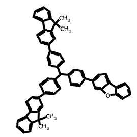 CC1(C)c2ccccc2-c2ccc(-c3ccc(C(c4ccc(-c5ccc6c(c5)C(C)(C)c5ccccc5-6)cc4)c4ccc(-c5ccc6c(c5)oc5ccccc56)cc4)cc3)cc21